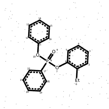 CCc1ccccc1OP(=O)(Oc1ccccc1)c1ccccc1